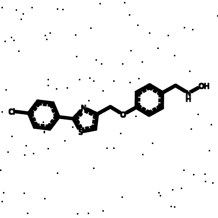 ONCc1ccc(OCc2csc(-c3ccc(Cl)cc3)n2)cc1